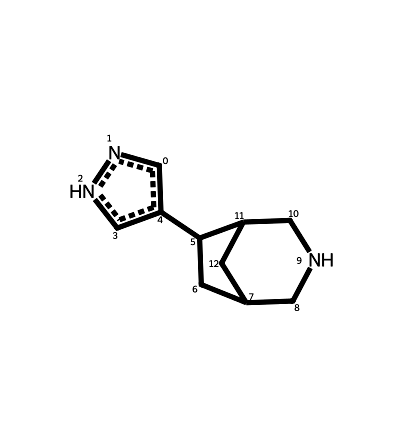 c1n[nH]cc1C1CC2CNCC1C2